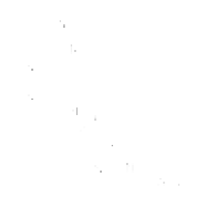 CN1CCN(c2ncc(S(=O)(=O)N3CCc4c(ncnc4-c4cncn4CCc4ccc(F)cc4)C3)s2)CC1